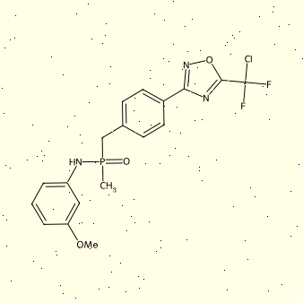 COc1cccc(NP(C)(=O)Cc2ccc(-c3noc(C(F)(F)Cl)n3)cc2)c1